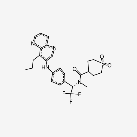 CCCc1c(Nc2ccc([C@H](N(C)C(=O)C3CCS(=O)(=O)CC3)C(F)(F)F)cc2)cnc2cccnc12